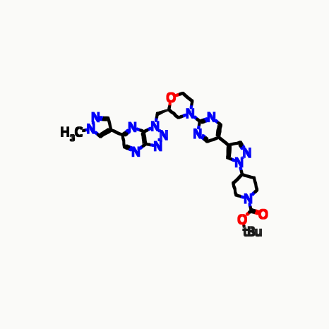 Cn1cc(-c2cnc3nnn(C[C@@H]4CN(c5ncc(-c6cnn(C7CCN(C(=O)OC(C)(C)C)CC7)c6)cn5)CCO4)c3n2)cn1